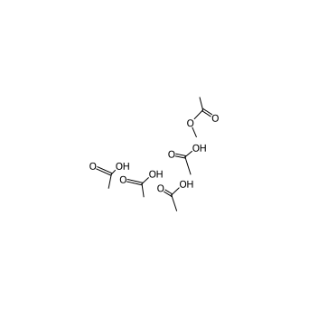 CC(=O)O.CC(=O)O.CC(=O)O.CC(=O)O.COC(C)=O